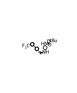 CC(C)(C)OC(=O)N[C@H]1CC[C@@H](N[C@H]2C[C@@H]2c2ccc(-c3cccc(C(F)(F)F)c3)cc2)CC1